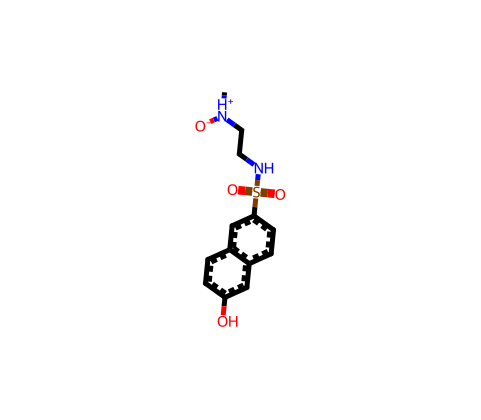 C[NH+]([O-])CCNS(=O)(=O)c1ccc2cc(O)ccc2c1